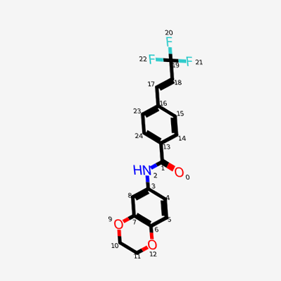 O=C(Nc1ccc2c(c1)OCCO2)c1ccc(/C=C/C(F)(F)F)cc1